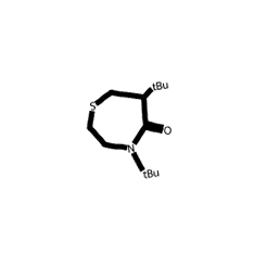 CC(C)(C)C1CSCCN(C(C)(C)C)C1=O